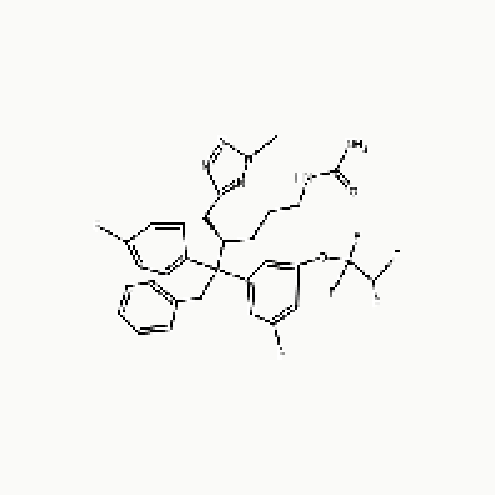 Cn1nnc(C[C@@H](CCCNC(N)=O)C(Cc2ccccc2)(c2ccc(F)cc2)c2cc(F)cc(OC(F)(F)C(F)F)c2)n1